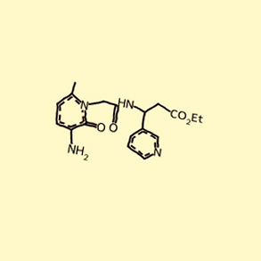 CCOC(=O)CC(NC(=O)Cn1c(C)ccc(N)c1=O)c1cccnc1